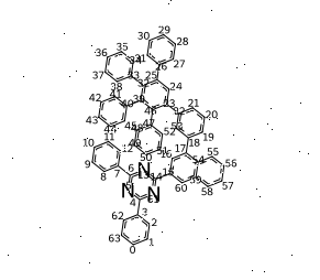 c1ccc(-c2nc(-c3ccccc3)nc(-c3cc(-c4cccc(-c5cc(-c6ccccc6)c(-c6ccccc6)c(-c6ccccc6)c5-c5ccccc5)c4)c4ccccc4c3)n2)cc1